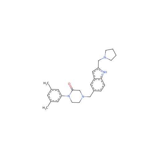 Cc1cc(C)cc(N2CCN(Cc3ccc4[nH]c(CN5CCCC5)cc4c3)CC2=O)c1